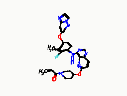 C=CC(=O)N1CCC(Oc2ccc3ncnc(Nc4ccc(Oc5cnn6ccnc6c5)c(C)c4F)c3n2)CC1